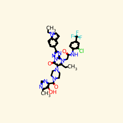 CCc1c(N2CCN(C(=O)c3ncnc(C)c3O)CC2)c(=O)n2nc(-c3ccc4c(ccn4CC)c3)nc2n1CC(=O)Nc1ccc(C(F)(F)F)cc1Cl